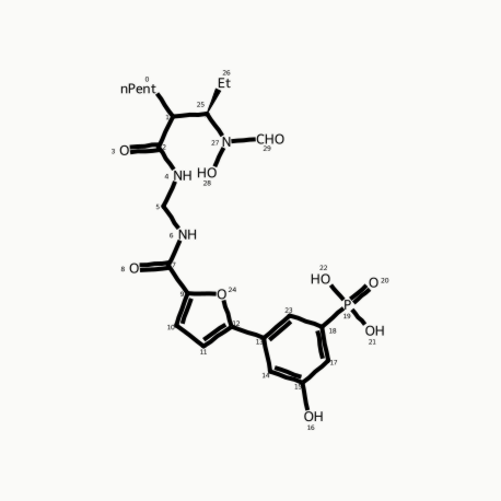 CCCCCC(C(=O)NCNC(=O)c1ccc(-c2cc(O)cc(P(=O)(O)O)c2)o1)[C@@H](CC)N(O)C=O